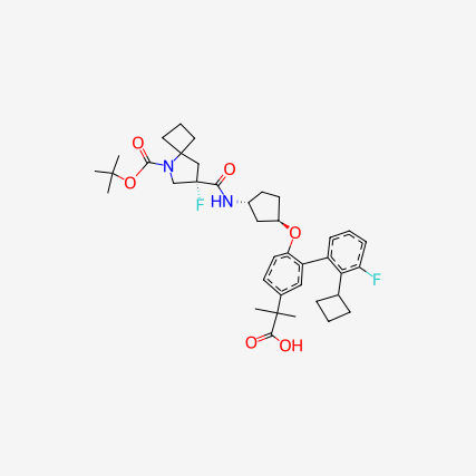 CC(C)(C)OC(=O)N1C[C@](F)(C(=O)N[C@@H]2CC[C@@H](Oc3ccc(C(C)(C)C(=O)O)cc3-c3cccc(F)c3C3CCC3)C2)CC12CCC2